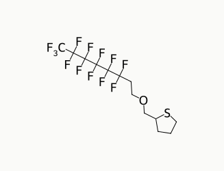 FC(F)(F)C(F)(F)C(F)(F)C(F)(F)C(F)(F)C(F)(F)CCOCC1CCCS1